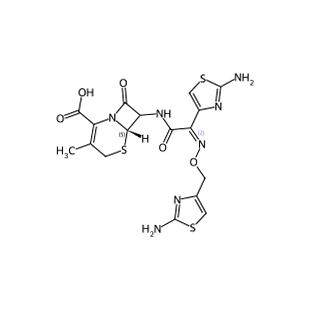 CC1=C(C(=O)O)N2C(=O)C(NC(=O)/C(=N\OCc3csc(N)n3)c3csc(N)n3)[C@@H]2SC1